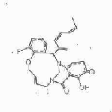 C=C(/C=C\C=C/C)[C@@H]1c2cccc(F)c2OC/C=C/[C@@H](C)N2CN1n1ccc(=O)c(O)c1C2=O